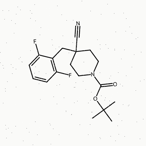 CC(C)(C)OC(=O)N1CCC(C#N)(Cc2c(F)cccc2F)CC1